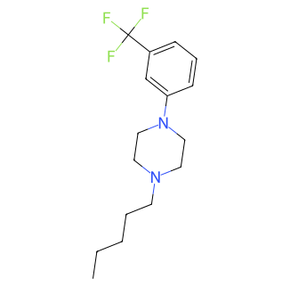 CCCCCN1CCN(c2cccc(C(F)(F)F)c2)CC1